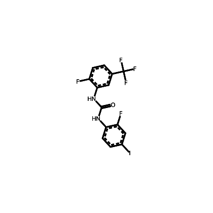 O=C(Nc1ccc(I)cc1F)Nc1cc(C(F)(F)F)ccc1F